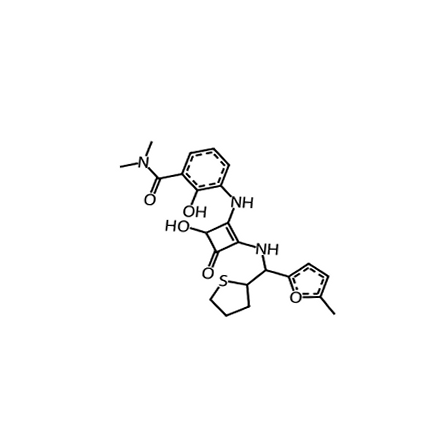 Cc1ccc(C(NC2=C(Nc3cccc(C(=O)N(C)C)c3O)C(O)C2=O)C2CCCS2)o1